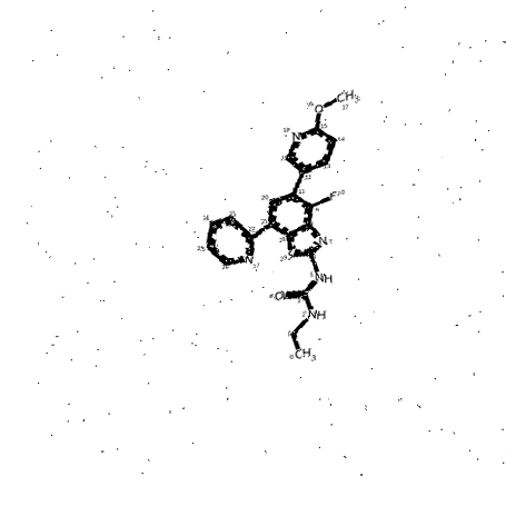 CCNC(=O)Nc1nc2c(F)c(-c3ccc(OC)nc3)cc(-c3ccccn3)c2s1